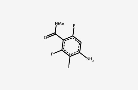 CNC(=O)c1c(F)cc(N)c(I)c1F